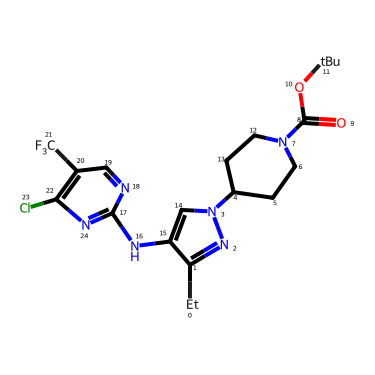 CCc1nn(C2CCN(C(=O)OC(C)(C)C)CC2)cc1Nc1ncc(C(F)(F)F)c(Cl)n1